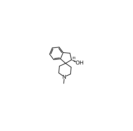 CN1CCC2(CC1)c1ccccc1C[C@H]2O